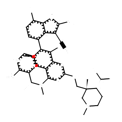 C[C@H](c1nccnc1N)N(C)c1nc(OC[C@@]2(C)CN(C)CC[C@H]2C(F)F)nc2c(F)c(-c3ccc(F)c4sc(N)c(C#N)c34)c(Cl)cc12